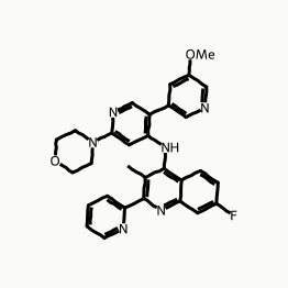 COc1cncc(-c2cnc(N3CCOCC3)cc2Nc2c(C)c(-c3ccccn3)nc3cc(F)ccc23)c1